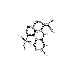 CCS(=O)(=O)c1ccc2nnc(C(N)=O)c(Nc3cncc(F)c3)c2c1